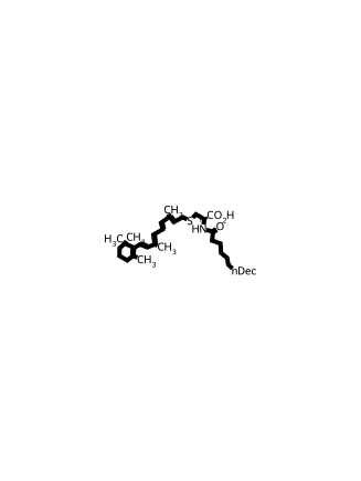 CCCCCCCCCCCCCCCC(=O)N[C@@H](CSCC=C(C)C=CC=C(C)C=CC1=C(C)CCCC1(C)C)C(=O)O